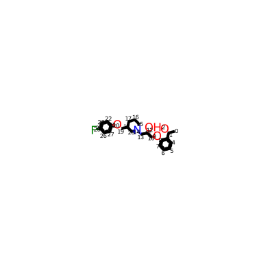 CC(=O)c1ccccc1OCC(O)CN1CCCC(COc2ccc(F)cc2)C1